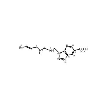 CCC=CCNCNCn1nnc2cc(C(=O)O)ccc21